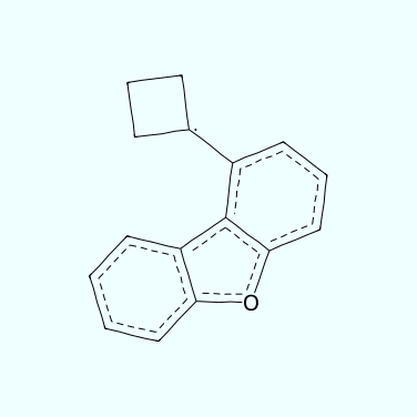 c1ccc2c(c1)oc1cccc([C]3CCC3)c12